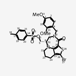 COc1ccc(CN2C[C@@H](COS(=O)(=O)c3ccc(C)cc3)N3CCCc4c(Br)sc(c43)C2=O)c(OC)c1